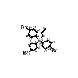 C=CC[B-](c1ccc(Br)cc1)(c1ccc(Br)cc1)c1ccc(Br)cc1.[Li+]